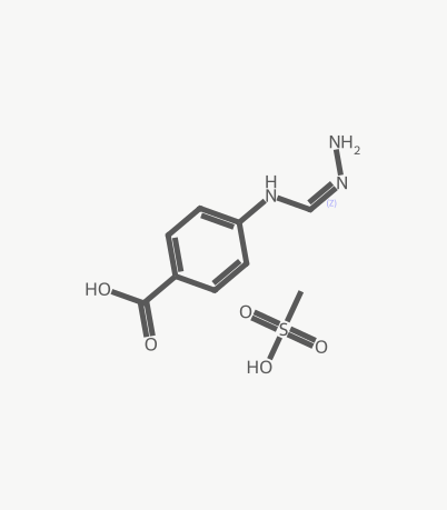 CS(=O)(=O)O.N/N=C\Nc1ccc(C(=O)O)cc1